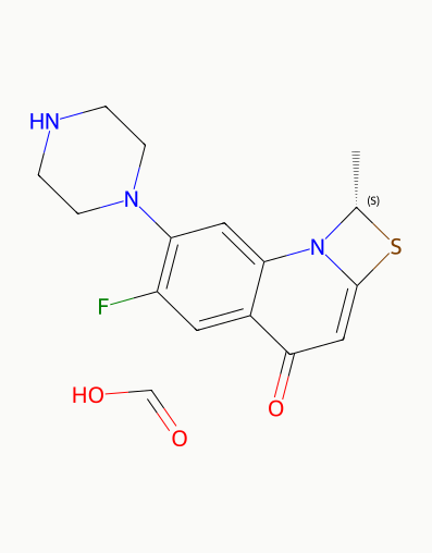 C[C@@H]1Sc2cc(=O)c3cc(F)c(N4CCNCC4)cc3n21.O=CO